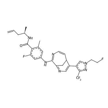 C=CC[C@@H](C)NC(=O)c1c(C)cc(NC2=NC=CC3CC2=NC=C3c2cn(CCF)nc2C(F)(F)F)cc1F